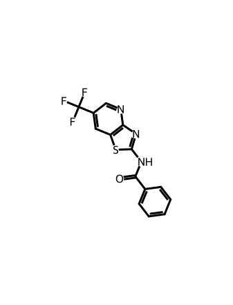 O=C(Nc1nc2ncc(C(F)(F)F)cc2s1)c1ccccc1